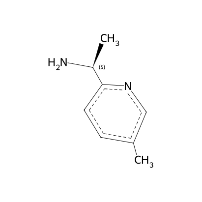 Cc1ccc([C@H](C)N)nc1